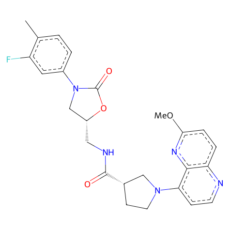 COc1ccc2nccc(N3CC[C@H](C(=O)NC[C@@H]4CN(c5ccc(C)c(F)c5)C(=O)O4)C3)c2n1